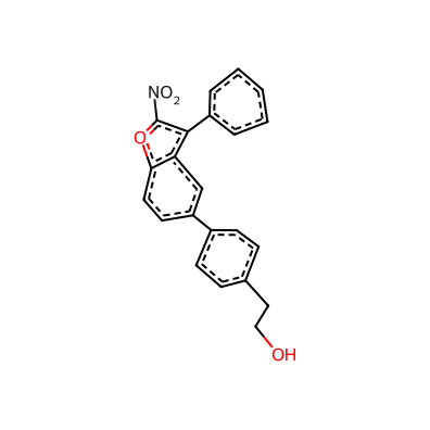 O=[N+]([O-])c1oc2ccc(-c3ccc(CCO)cc3)cc2c1-c1ccccc1